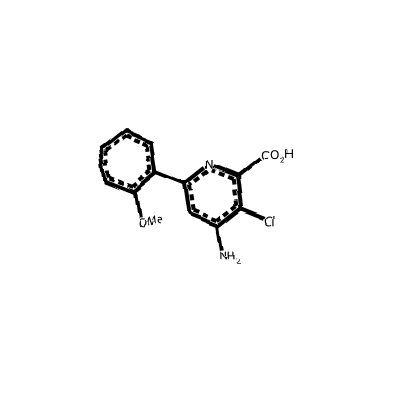 COc1ccccc1-c1cc(N)c(Cl)c(C(=O)O)n1